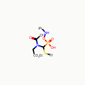 CCOC(=O)CN(C(=O)C(F)(F)F)C(SCC)P(=O)(O)ONC(C)C